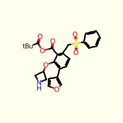 CC(C)(C)C(=O)OC(=O)c1c(CS(=O)(=O)c2ccccc2)ccc(-c2ccoc2)c1OC1CNC1